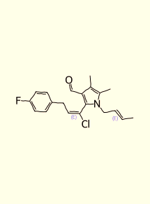 C/C=C/Cn1c(C)c(C)c(C=O)c1/C(Cl)=C\Cc1ccc(F)cc1